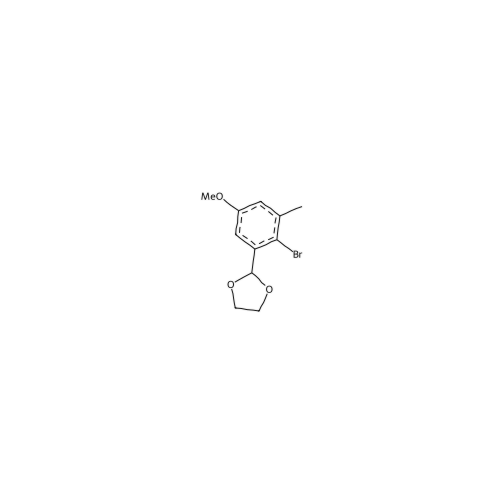 COc1cc(C)c(Br)c(C2OCCO2)c1